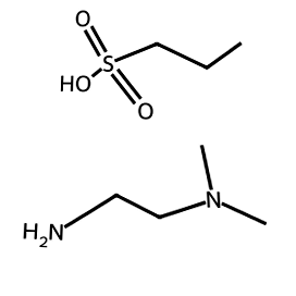 CCCS(=O)(=O)O.CN(C)CCN